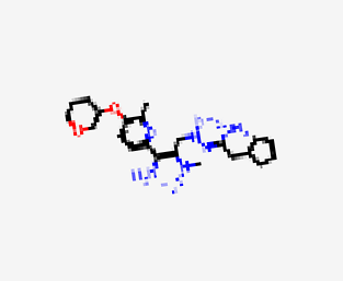 Cc1nc(/C(N)=C(\CN(N)/N=C(\N)CC2CCCC2)N(C)N)ccc1OC1CCCOC1